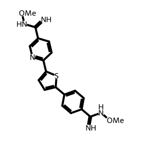 CONC(=N)c1ccc(-c2ccc(-c3ccc(C(=N)NOC)cn3)s2)cc1